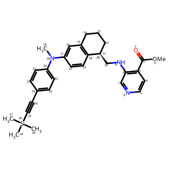 COC(=O)c1ccncc1NC[C@@H]1CCCc2cc(N(C)c3ccc(C#C[Si](C)(C)C)cc3)ccc21